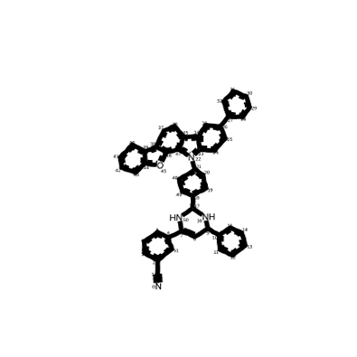 N#Cc1cccc(C2=CC(c3ccccc3)NC(c3ccc(-n4c5ccc(-c6ccccc6)cc5c5ccc6c7ccccc7oc6c54)cc3)N2)c1